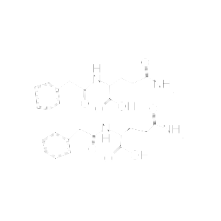 NC(=O)CCC(NC(=O)Cc1ccccc1)C(=O)O.NC(=O)CC[C@H](NC(=O)Cc1ccccc1)C(=O)O